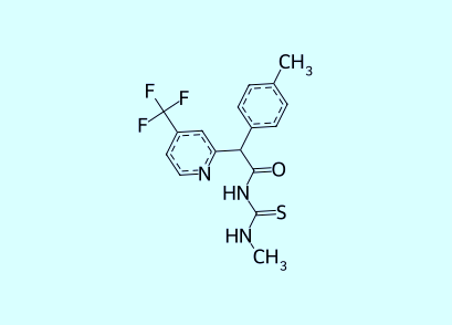 CNC(=S)NC(=O)C(c1ccc(C)cc1)c1cc(C(F)(F)F)ccn1